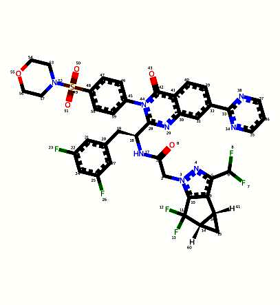 O=C(Cn1nc(C(F)F)c2c1C(F)(F)[C@H]1C[C@@H]21)N[C@@H](Cc1cc(F)cc(F)c1)c1nc2cc(-c3ncccn3)ccc2c(=O)n1-c1ccc(S(=O)(=O)N2CCOCC2)cc1